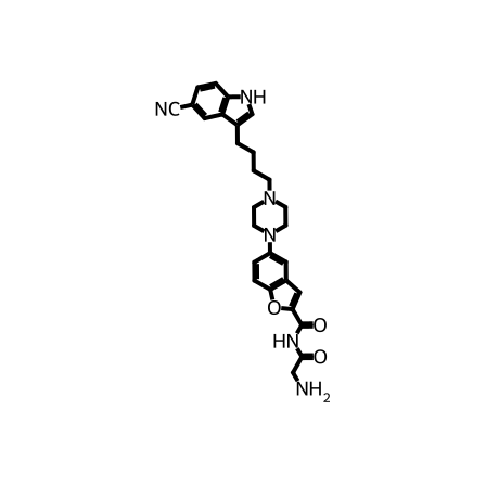 N#Cc1ccc2[nH]cc(CCCCN3CCN(c4ccc5oc(C(=O)NC(=O)CN)cc5c4)CC3)c2c1